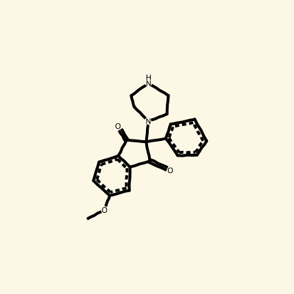 COc1ccc2c(c1)C(=O)C(c1ccccc1)(N1CCNCC1)C2=O